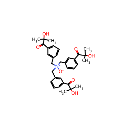 CC(C)(O)C(=O)c1cccc(C[N+]([O-])(Cc2cccc(C(=O)C(C)(C)O)c2)Cc2cccc(C(=O)C(C)(C)O)c2)c1